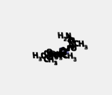 C/C=C(\C=C/C1C(C)CC1CNC(=O)OC(C)(C)C)CCC(=O)N1CC(N)CC1C